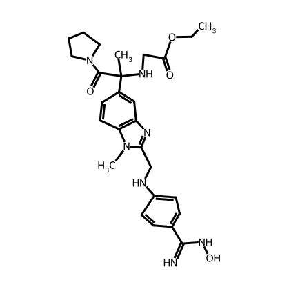 CCOC(=O)CNC(C)(C(=O)N1CCCC1)c1ccc2c(c1)nc(CNc1ccc(C(=N)NO)cc1)n2C